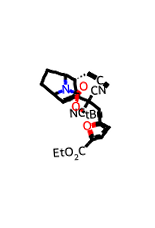 C=C=C[C@@H]1C(C(C#N)(C#N)Cc2ccc(C(=O)OCC)o2)=CC2CCC1N2C(=O)OC(C)(C)C